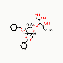 COC1C[C@H](OCc2ccccc2)[C@H]2OC(c3ccccc3)OC[C@H]2O1.O=CCC(O)C(O)C(O)CO